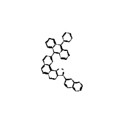 c1ccc(-c2c3ccccc3c(-c3ccc4ccc5ccc6c(-c7ccc8ccccc8c7)noc6c5c4c3)c3ccccc23)cc1